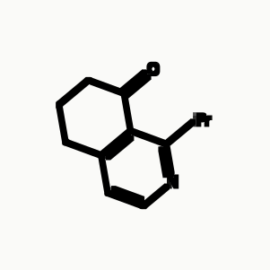 CC(C)c1nccc2c1C(=O)CCC2